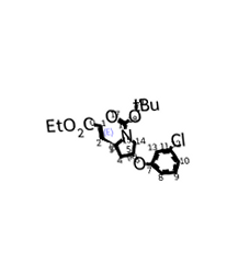 CCOC(=O)/C=C/[C@@H]1C[C@@H](Oc2cccc(Cl)c2)CN1C(=O)OC(C)(C)C